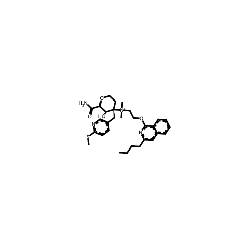 CCCCc1cc2ccccc2c(OCC[N+](C)(C)[C@@]2(Cc3ccc(SC)nc3)CCOC(C(N)=O)[C@@H]2O)n1